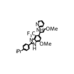 COCCC(Nc1ccccn1)c1cc(OC)c2[nH]c(-c3ccc(C(C)C)cc3)nc2c1C(F)(F)F